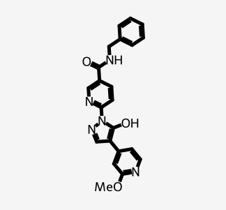 COc1cc(-c2cnn(-c3ccc(C(=O)NCc4ccccc4)cn3)c2O)ccn1